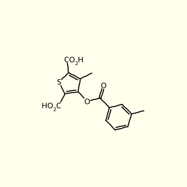 Cc1cccc(C(=O)Oc2c(C(=O)O)sc(C(=O)O)c2C)c1